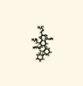 CC=CC(=O)Oc1c(OCCC)cc(-c2cccc3c2Cc2ccccc2-3)c(OCCC)c1CN